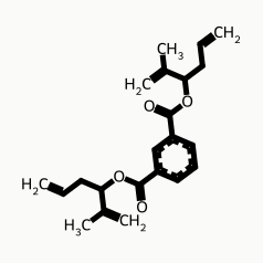 C=CCC(OC(=O)c1cccc(C(=O)OC(CC=C)C(=C)C)c1)C(=C)C